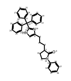 O=C1C(CCCc2c[nH]c(C(c3ccccc3)(c3ccccc3)c3ccccc3)n2)CCN1c1ccccc1